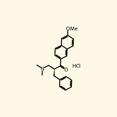 COc1ccc2cc(C(=O)[C@@H](Cc3ccccc3)CN(C)C)ccc2c1.Cl